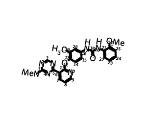 CNc1ncnc(-c2cccnc2Oc2ccc(NC(=O)Nc3ccccc3OC)cc2C)n1